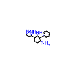 Nc1ccc(-c2ccn[nH]2)c(N)c1-c1ccccc1